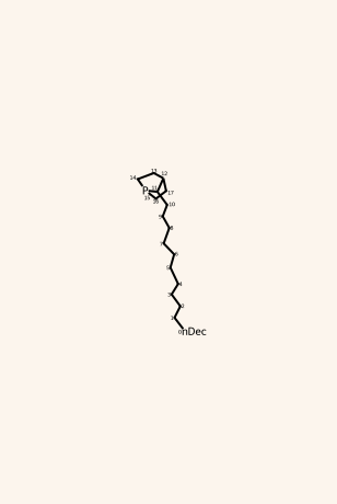 CCCCCCCCCCCCCCCCCCCCC1C2CCP1CC2